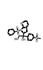 CC(C)(C)CC(O)(c1ccc(S(C)(=O)=O)cc1)c1cc2cccnc2n1S(=O)(=O)c1ccccc1